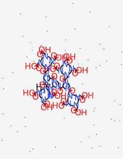 CNC1CN(C(=O)C2CN(C(=O)CN3CCN(CC(=O)O)CCN(CC(=O)O)CCN(CC(=O)O)CC3)CCN(C(=O)CN3CCN(CC(=O)O)CCN(CC(=O)O)CCN(CC(=O)O)CC3)C2)CCN(C(=O)C2CN(C(=O)CN3CCN(CC(=O)O)CCN(CC(=O)O)CCN(CC(=O)O)CC3)CCN(C(=O)CN3CCN(CC(=O)O)CCN(CC(=O)O)CCN(CC(=O)O)CC3)C2)C1